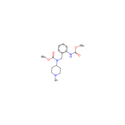 CC(C)N1CCC(N(Cc2ccccc2NC(=O)OC(C)(C)C)C(=O)OC(C)(C)C)CC1